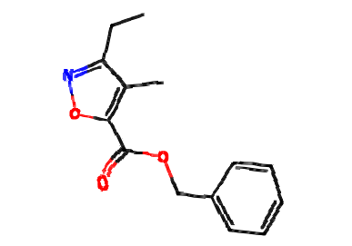 CCc1noc(C(=O)OCc2ccccc2)c1C